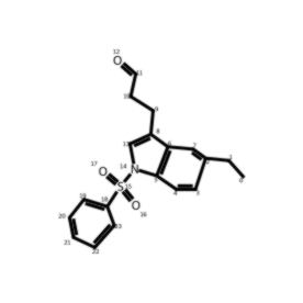 CCc1ccc2c(c1)c(CCC=O)cn2S(=O)(=O)c1ccccc1